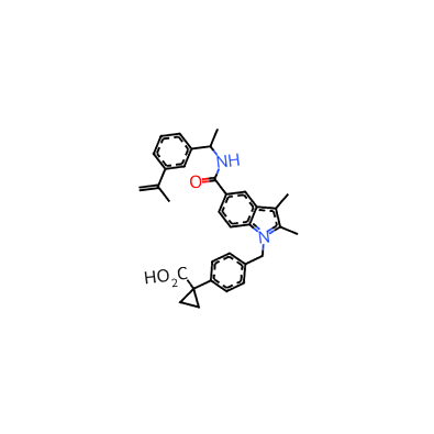 C=C(C)c1cccc(C(C)NC(=O)c2ccc3c(c2)c(C)c(C)n3Cc2ccc(C3(C(=O)O)CC3)cc2)c1